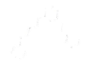 COc1cccc(CNC(=O)/C(O)=C/c2cc(CCc3ccccc3)ncn2)c1